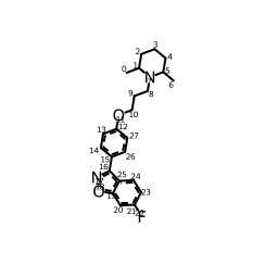 CC1CCCC(C)N1CCCOc1ccc(-c2noc3cc(F)ccc23)cc1